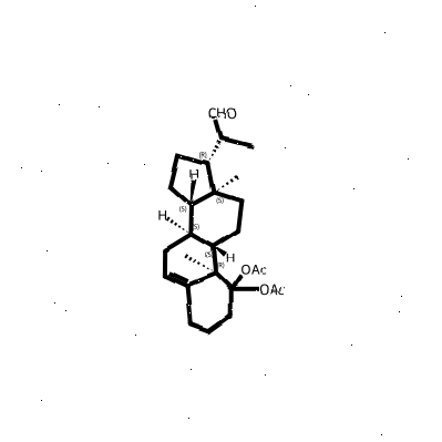 CC(=O)OC1(OC(C)=O)CCCC2=CC[C@H]3[C@@H]4CC[C@H](C(C)C=O)[C@@]4(C)CC[C@@H]3[C@]21C